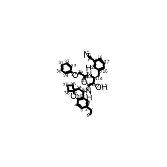 CCc1ccc2c(c1)[C@@H](NC[C@@H](O)[C@H](Cc1cccc(C#N)c1)NC(=O)COc1ccccc1)CC1(CCC1)O2